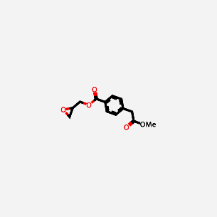 COC(=O)Cc1ccc(C(=O)OCC2CO2)cc1